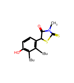 CN1C(=O)C(c2ccc(O)c(C(C)(C)C)c2C(C)(C)C)SC1=S